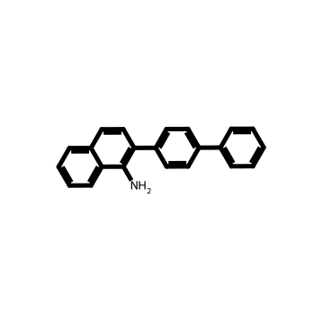 Nc1c(-c2ccc(-c3ccccc3)cc2)ccc2ccccc12